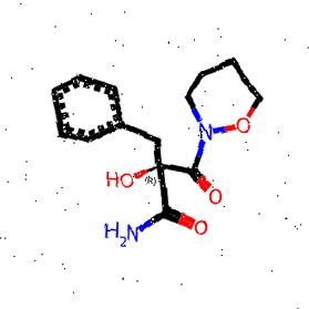 NC(=O)[C@](O)(Cc1ccccc1)C(=O)N1CCCCO1